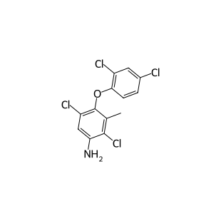 Cc1c(Cl)c(N)cc(Cl)c1Oc1ccc(Cl)cc1Cl